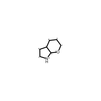 C1COC2NCCC2C1